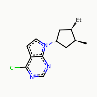 CC[C@@H]1C[C@@H](n2ccc3c(Cl)ncnc32)C[C@@H]1C